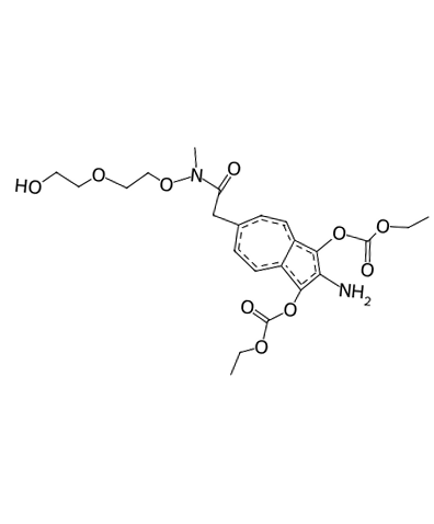 CCOC(=O)Oc1c2ccc(CC(=O)N(C)OCCOCCO)ccc-2c(OC(=O)OCC)c1N